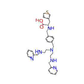 O=C(O)C(Cc1ccsc1)NCc1ccc(CN(CCNCc2ccccn2)CCNCc2ccccn2)cc1